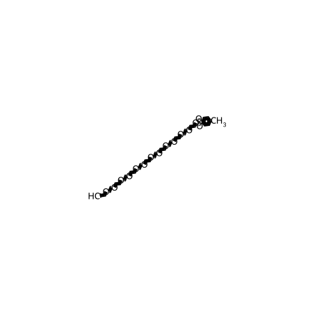 C#CCOCCOCCOCCOCCOCCOCCOCCOCCOCCOCCOCCOCCOS(=O)(=O)c1ccc(C)cc1